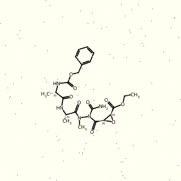 CCOC(=O)[C@H]1O[C@H]1C(=O)N(C(N)=O)N(C)C(=O)[C@H](C)NC(=O)[C@H](C)NC(=O)OCc1ccccc1